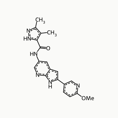 COc1ccc(-c2cc3cc(NC(=O)c4[nH]nc(C)c4C)cnc3[nH]2)cn1